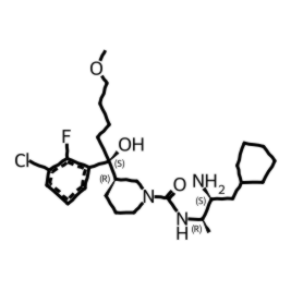 COCCCC[C@@](O)(c1cccc(Cl)c1F)[C@@H]1CCCN(C(=O)N[C@H](C)[C@@H](N)CC2CCCCC2)C1